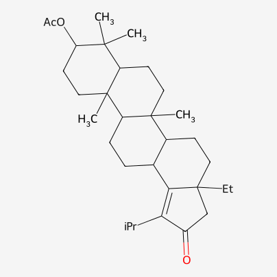 CCC12CCC3C(CCC4C3(C)CCC3C(C)(C)C(OC(C)=O)CCC34C)C1=C(C(C)C)C(=O)C2